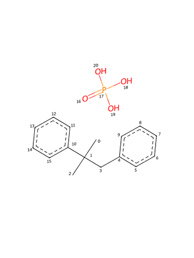 CC(C)(Cc1ccccc1)c1ccccc1.O=P(O)(O)O